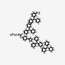 CCCCCC(C)Oc1ccc(-c2cccs2)cc1.[Pd].c1ccc(P(c2ccccc2)c2ccccc2)cc1.c1ccc(P(c2ccccc2)c2ccccc2)cc1.c1ccc(P(c2ccccc2)c2ccccc2)cc1.c1ccc(P(c2ccccc2)c2ccccc2)cc1